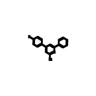 CCc1cc(-c2ccc(F)cc2)cc(-c2ccccc2)n1